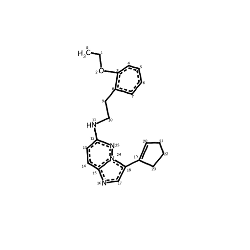 CCOc1ccccc1CCNc1ccc2ncc(C3=CCCC3)n2n1